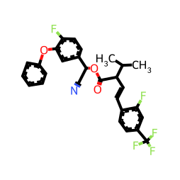 CC(C)C(/C=C/c1ccc(C(F)(F)F)cc1F)C(=O)OC(C#N)c1ccc(F)c(Oc2ccccc2)c1